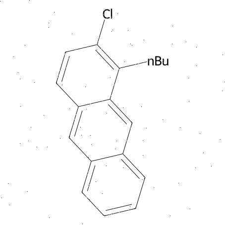 CCCCc1c(Cl)ccc2cc3ccccc3cc12